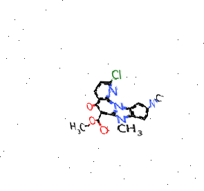 [C-]#[N+]c1ccc2c(c1)n1c3nc(Cl)ccc3c(=O)c(C(=O)OCC)c1n2C